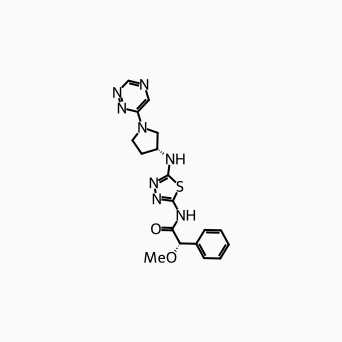 CO[C@H](C(=O)Nc1nnc(N[C@@H]2CCN(c3cncnn3)C2)s1)c1ccccc1